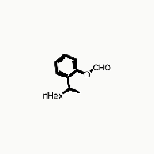 CCCCCCC(C)c1ccccc1OC=O